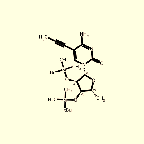 CC#Cc1cn([C@@H]2O[C@H](C)[C@@H](O[Si](C)(C)C(C)(C)C)[C@H]2O[Si](C)(C)C(C)(C)C)c(=O)nc1N